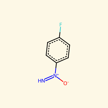 N=[N+]([O-])c1ccc(F)cc1